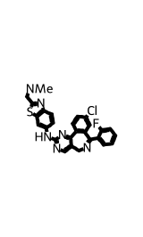 CNCc1nc2ccc(Nc3ncc4c(n3)-c3ccc(Cl)cc3C(c3ccccc3F)=NC4)cc2s1